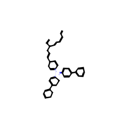 C=C/C=C\C=C\C(C=C)C/C=C/C1C=CC(N(C2=CC=C(C3=CC=CCC3)CC2)c2ccc(-c3ccccc3)cc2)=CC1